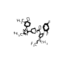 Cc1nc(C2CCN(C(=O)[C@@H]3C[C@H](N(C)CCC(F)(F)F)C[C@H]3c3ccc(F)cc3F)CC2)n(-c2ccc(Cl)c(C)c2)n1